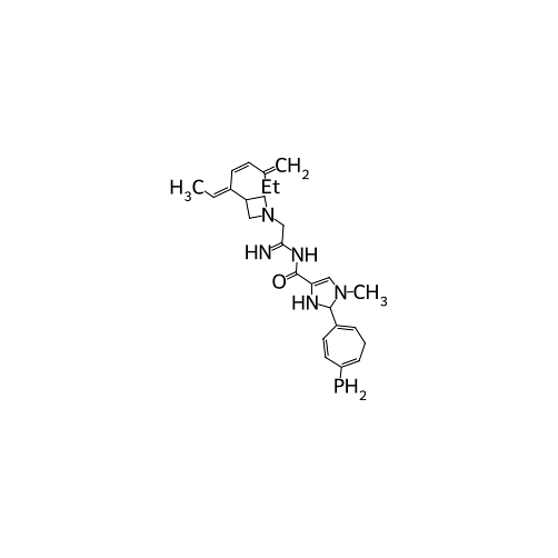 C=C(/C=C\C(=C/C)C1CN(CC(=N)NC(=O)C2=CN(C)C(C3=CCC=C(P)C=C3)N2)C1)CC